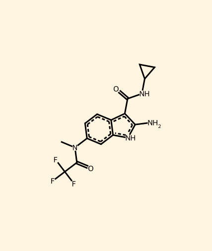 CN(C(=O)C(F)(F)F)c1ccc2c(C(=O)NC3CC3)c(N)[nH]c2c1